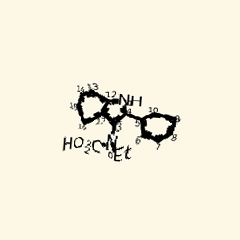 CCN(C(=O)O)c1c(-c2ccccc2)[nH]c2ccccc12